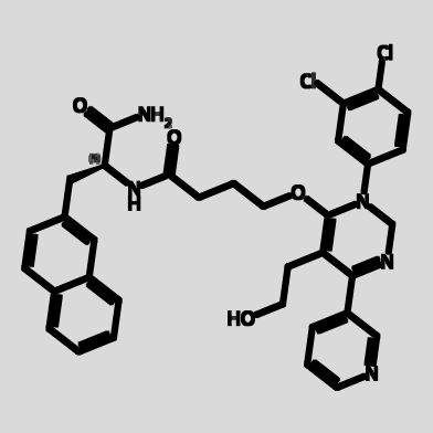 NC(=O)[C@H](Cc1ccc2ccccc2c1)NC(=O)CCCOC1=C(CCO)C(c2cccnc2)=NCN1c1ccc(Cl)c(Cl)c1